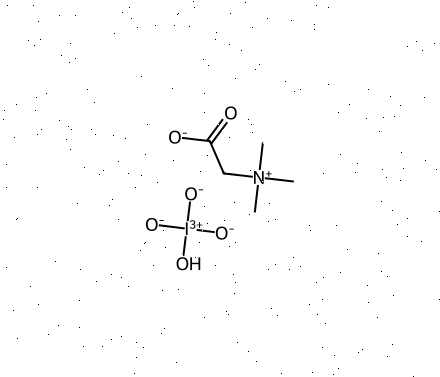 C[N+](C)(C)CC(=O)[O-].[O-][I+3]([O-])([O-])O